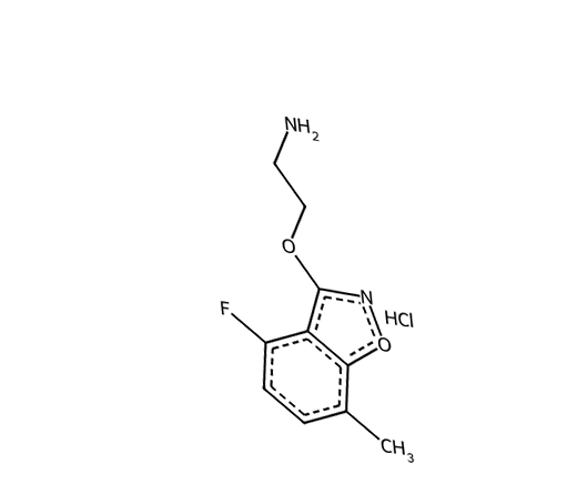 Cc1ccc(F)c2c(OCCN)noc12.Cl